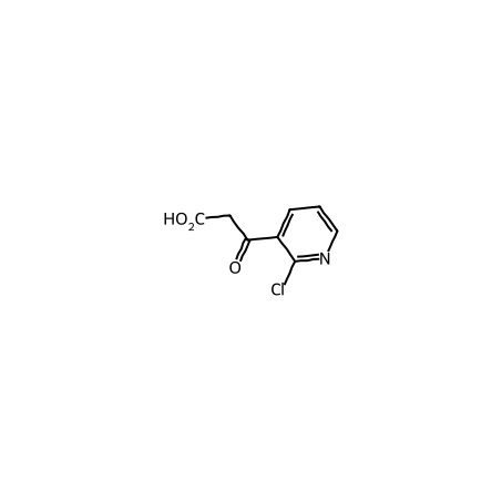 O=C(O)CC(=O)c1cccnc1Cl